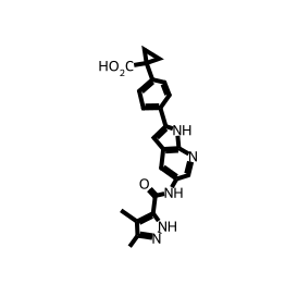 Cc1n[nH]c(C(=O)Nc2cnc3[nH]c(-c4ccc(C5(C(=O)O)CC5)cc4)cc3c2)c1C